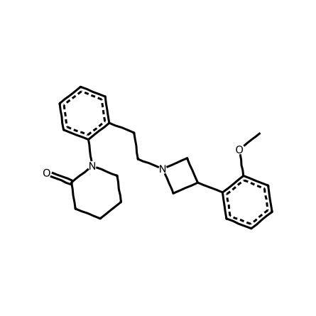 COc1ccccc1C1CN(CCc2ccccc2N2CCCCC2=O)C1